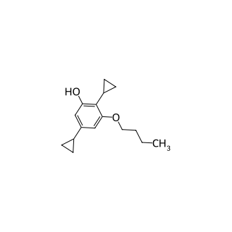 CCCCOc1cc(C2CC2)cc(O)c1C1CC1